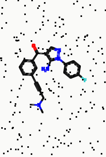 CN(C)CC#Cc1cccc(C(=O)c2cnn(-c3ccc(F)cc3)c2N)c1